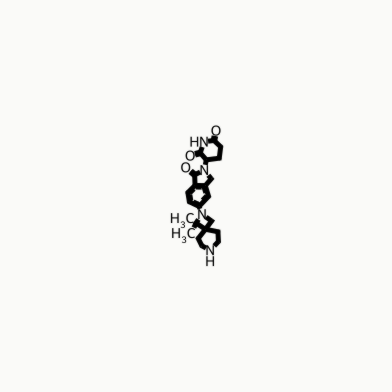 CC1(C)N(c2ccc3c(c2)CN(C2CCC(=O)NC2=O)C3=O)CC12CCNCC2